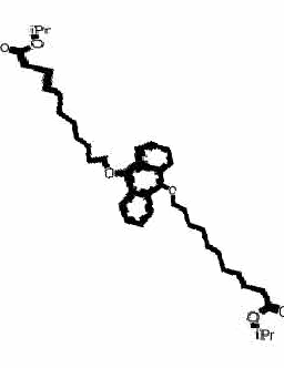 CC(C)OC(=O)CCCCCCCCCCOc1c2ccccc2c(OCCCCCCCCCCC(=O)OC(C)C)c2ccccc12